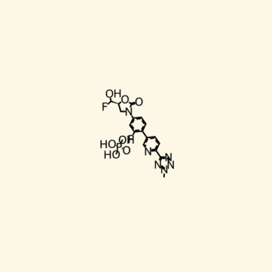 Cn1nnc(-c2ccc(-c3ccc(N4C[C@@H](C(O)F)OC4=O)cc3F)cn2)n1.O=P(O)(O)O